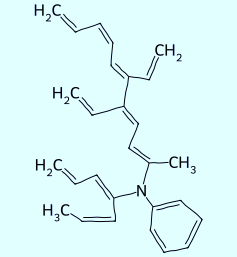 C=C\C=C/C=C(C=C)/C(C=C)=C/C=C(\C)N(C(/C=C\C)=C/C=C)c1ccccc1